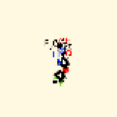 CCN(C[C@@H](O)C(F)(F)F)C(=O)Nc1ccc(Oc2ccc(F)c(F)c2)cn1